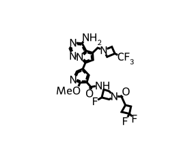 COc1ncc(-c2cc(CN3CC(C(F)(F)F)C3)c3c(N)ncnn23)cc1C(=O)NC1CN(C(=O)C2CC(F)(F)C2)CC1F